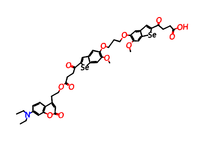 CCN(CC)c1ccc2c(CCOC(=O)CCC(=O)c3cc4cc(OCCCOc5cc6cc(C(=O)CCC(=O)O)[se]c6cc5OC)c(OC)cc4[se]3)cc(=O)oc2c1